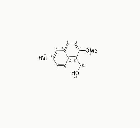 COc1ccc2cc(C(C)(C)C)ccc2c1CO